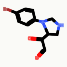 O=CC(=O)C1CNCN1c1ccc(Br)cc1